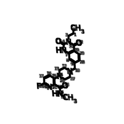 CCCn1c(=O)[nH]c2cc(CN3CCN(c4ccc(F)nc4C(=O)NC)CC3)ccc2c1=O